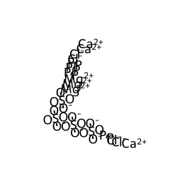 O=S(=O)([O-])[O-].O=S(=O)([O-])[O-].O=S(=O)([O-])[O-].O=S(=O)([O-])[O-].P#P.P#P.P#P.P#P.[Ca+2].[Ca+2].[Ca+2].[Cl-].[Cl-].[Cl-].[Cl-].[Mg+2].[Mg+2].[Mg+2]